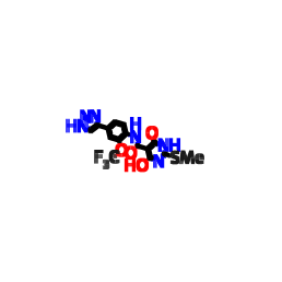 CSc1nc(O)c(C(=O)Nc2ccc(-c3c[nH]nn3)cc2OC(F)(F)F)c(=O)[nH]1